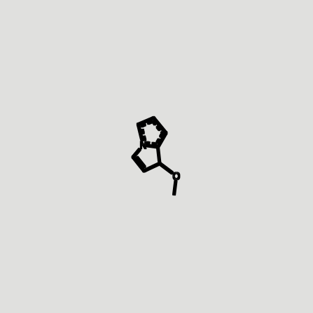 COC1C=Cn2cccc21